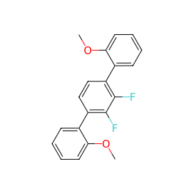 COc1ccccc1-c1ccc(-c2ccccc2OC)c(F)c1F